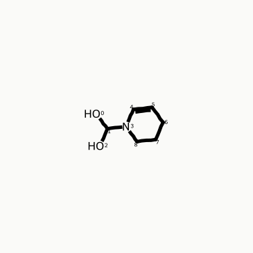 OC(O)N1C=CCCC1